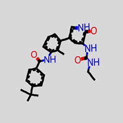 CCNC(=O)Nc1cc(-c2cccc(NC(=O)c3ccc(C(C)(C)C)cc3)c2C)c[nH]c1=O